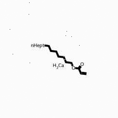 C=CC(=O)OCCCCCCCCCCCCCC.[CaH2]